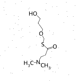 CN(C)CCC(=O)SCOCCCO